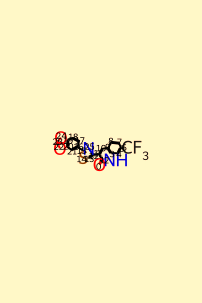 O=c1[nH]c2cc(C(F)(F)F)ccc2cc1-c1csc(-c2ccc3c(c2)OCO3)n1